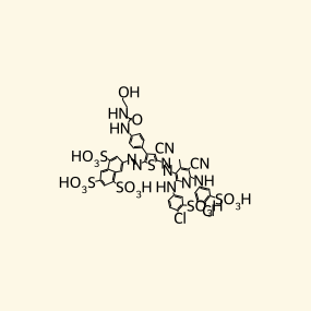 Cc1c(C#N)c(Nc2ccc(Cl)c(S(=O)(=O)O)c2)nc(Nc2ccc(Cl)c(S(=O)(=O)O)c2)c1N=Nc1sc(N=Nc2cc(S(=O)(=O)O)c3cc(S(=O)(=O)O)cc(S(=O)(=O)O)c3c2)c(-c2ccc(NC(=O)NCCO)cc2)c1C#N